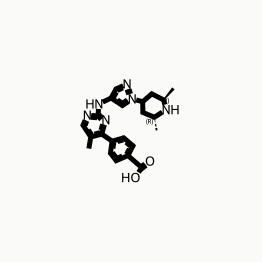 Cc1cnc(Nc2cnn(C3C[C@@H](C)N[C@H](C)C3)c2)nc1-c1ccc(C(=O)O)cc1